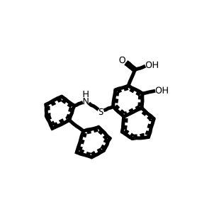 O=C(O)c1cc(SNc2ccccc2-c2ccccc2)c2ccccc2c1O